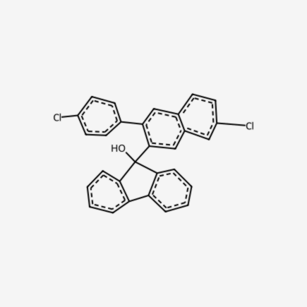 OC1(c2cc3cc(Cl)ccc3cc2-c2ccc(Cl)cc2)c2ccccc2-c2ccccc21